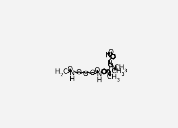 C=CC(=O)NCCOCCOCCOCC(=O)Nc1ccc2c([C@H]3CN(Cc4cccc5ocnc45)C[C@@H]3N(C)C)cn(C)c2c1